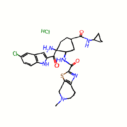 CN1CCc2nc(C(=O)NC3CC(C(=O)NC4CC4)CCC3(N)C(=O)c3cc4cc(Cl)ccc4[nH]3)sc2C1.Cl